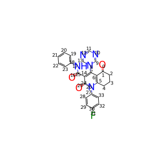 O=C1CCCc2c1c(N1C=NC=NC1)c(C(=O)Nc1ccccc1)c(=O)n2-c1ccc(F)cc1